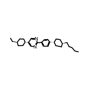 CCCCC[C@H]1CC[C@H](c2ccc(-c3ncc([C@H]4CC[C@H](CC)CC4)cn3)cc2)CC1